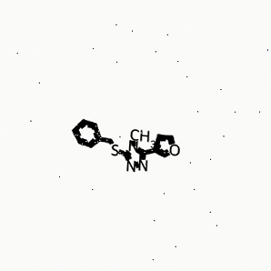 Cn1c(SCc2ccccc2)nnc1-c1ccoc1